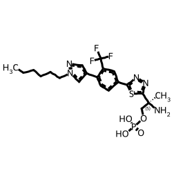 CCCCCCn1cc(-c2ccc(-c3nnc([C@@](C)(N)COP(=O)(O)O)s3)cc2C(F)(F)F)cn1